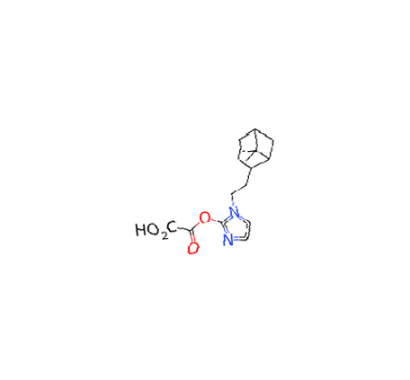 CC1(C)C2CCC(CCn3ccnc3OC(=O)C(=O)O)C1C2